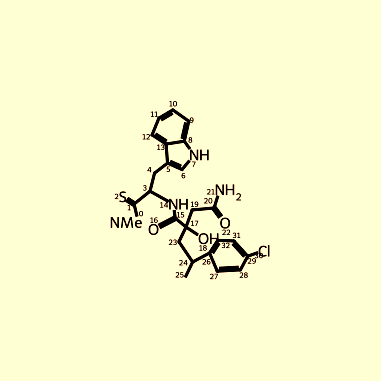 CNC(=S)C(Cc1c[nH]c2ccccc12)NC(=O)C(O)(CC(N)=O)CC(C)c1ccc(Cl)cc1